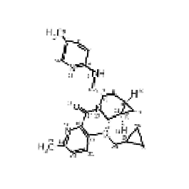 Cc1ccc(NC[C@@H]2C[C@H]3C[C@H]3CN2C(=O)c2nc(C)ccc2OCC2CC2)nc1